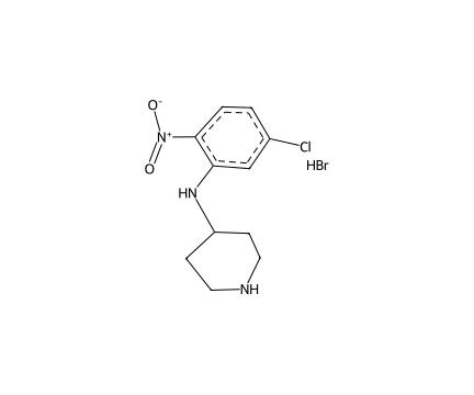 Br.O=[N+]([O-])c1ccc(Cl)cc1NC1CCNCC1